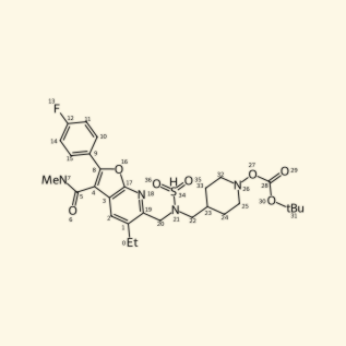 CCc1cc2c(C(=O)NC)c(-c3ccc(F)cc3)oc2nc1CN(CC1CCN(OC(=O)OC(C)(C)C)CC1)[SH](=O)=O